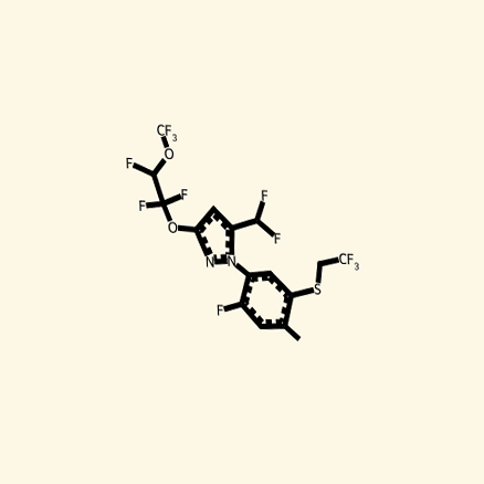 Cc1cc(F)c(-n2nc(OC(F)(F)C(F)OC(F)(F)F)cc2C(F)F)cc1SCC(F)(F)F